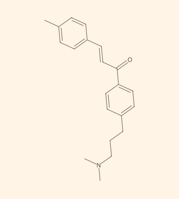 Cc1ccc(C=CC(=O)c2ccc(CCCN(C)C)cc2)cc1